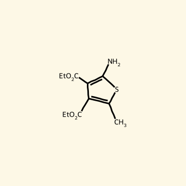 CCOC(=O)c1c(C)sc(N)c1C(=O)OCC